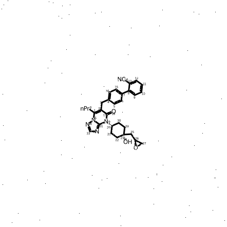 CCCc1c(Cc2ccc(-c3ccccc3C#N)cc2)c(=O)n([C@H]2CC[C@](O)(CC3CO3)CC2)c2ncnn12